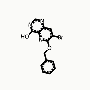 Oc1ncnc2cc(Br)c(OCc3ccccc3)nc12